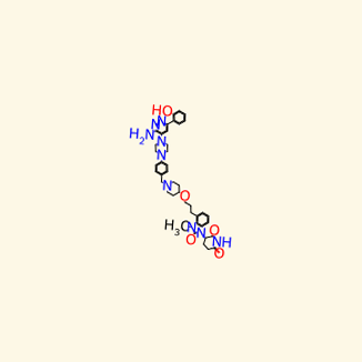 Cn1c(=O)n(C2CCC(=O)NC2=O)c2cccc(CCCOC3CCN(Cc4ccc(N5CCN(c6cc(-c7ccccc7O)nnc6N)CC5)cc4)CC3)c21